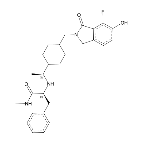 CNC(=O)[C@H](Cc1ccccc1)N[C@@H](C)C1CCC(CN2Cc3ccc(O)c(F)c3C2=O)CC1